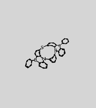 c1ccc(B2c3ccccc3N3c4cccc(c4)N4c5ccccc5B(c5ccccc5)c5ccc(cc54)Sc4ccc2c3c4)cc1